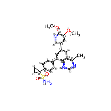 COc1cc(-c2cc(-c3ccc(C4(S(N)(=O)=O)CC4)cc3)c3ncnc(C)c3c2)cnc1OC